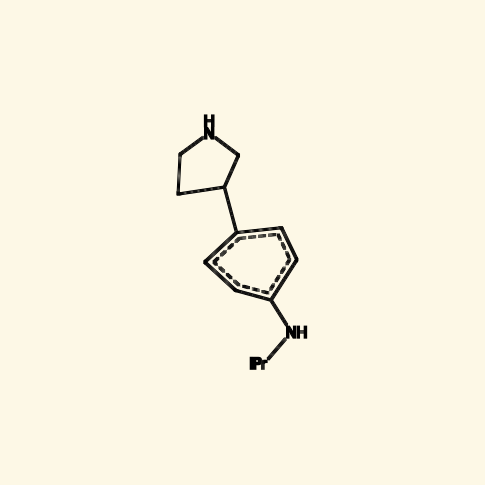 CC(C)Nc1ccc(C2CCNC2)cc1